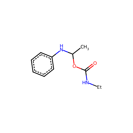 CCNC(=O)OC(C)Nc1ccccc1